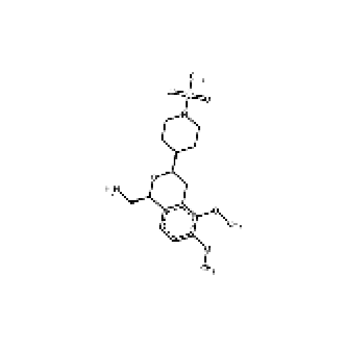 COc1ccc2c(c1OC)C[C@H](C1CCN(S(C)(=O)=O)CC1)O[C@@H]2CN